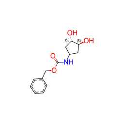 O=C(NC1C[C@H](O)[C@@H](O)C1)OCc1ccccc1